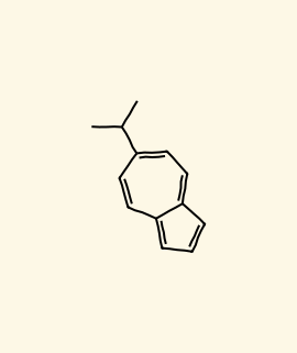 CC(C)c1ccc2cccc-2cc1